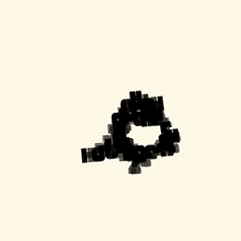 C=C1C[C@@H]2CC[C@@]34C[C@@H]5O[C@H]6[C@@H](O3)C3OC(CCC3O[C@H]6C5O4)CC(=O)C[C@@H]3[C@@H](C)[C@@H](C[C@H](O)CO)O[C@H]3C[C@H]3OC(CC[C@@H]1O2)C[C@@H](C)C3=C